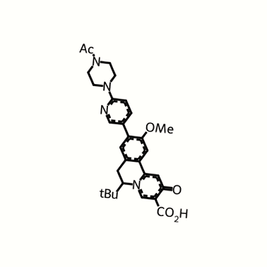 COc1cc2c(cc1-c1ccc(N3CCN(C(C)=O)CC3)nc1)CC(C(C)(C)C)n1cc(C(=O)O)c(=O)cc1-2